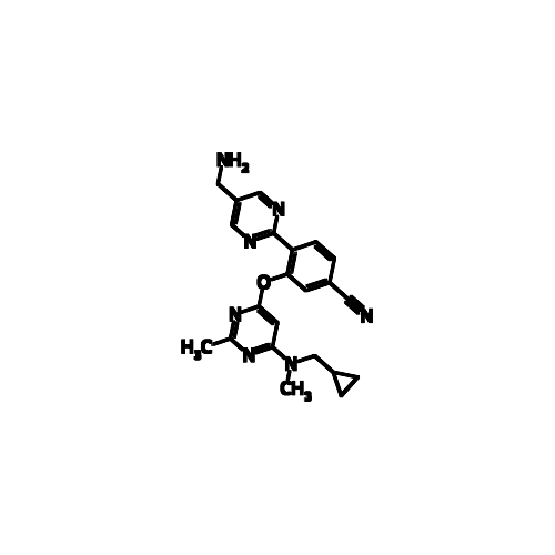 Cc1nc(Oc2cc(C#N)ccc2-c2ncc(CN)cn2)cc(N(C)CC2CC2)n1